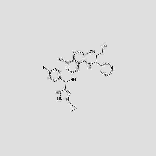 N#CCC[C@H](Nc1c(C#N)cnc2c(Cl)cc(NC(C3=CN(C4CC4)NN3)c3ccc(F)cc3)cc12)c1ccccc1